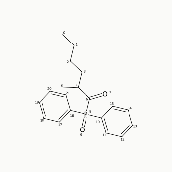 CCCCC(C)C(=O)P(=O)(c1ccccc1)c1ccccc1